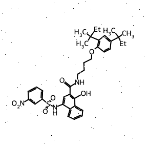 CCC(C)(C)c1ccc(OCCCCNC(=O)c2cc(NS(=O)(=O)c3cccc([N+](=O)[O-])c3)c3ccccc3c2O)c(C(C)(C)CC)c1